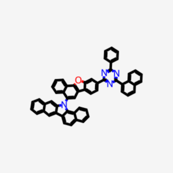 c1ccc(-c2nc(-c3ccc4c(c3)oc3c5ccccc5c(-n5c6cc7ccccc7cc6c6ccc7ccccc7c65)cc43)nc(-c3cccc4ccccc34)n2)cc1